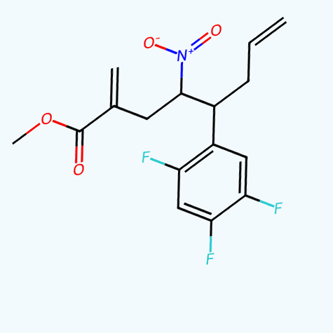 C=CCC(c1cc(F)c(F)cc1F)C(CC(=C)C(=O)OC)[N+](=O)[O-]